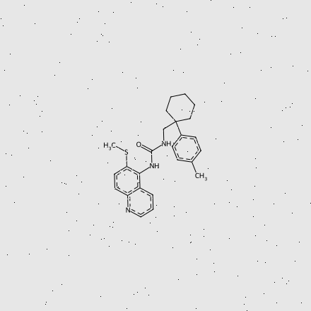 CSc1ccc2ncccc2c1NC(=O)NCC1(c2ccc(C)cc2)CCCCC1